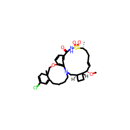 CO[C@H]1/C=C/CC[C@@H](C)S(=O)(=O)NC(=O)c2ccc3c(c2)N(CCCCC2=CC(Cl)=CCC2(C)CO3)C[C@@H]2CC[C@H]21